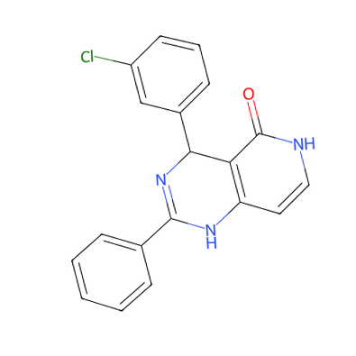 O=c1[nH]ccc2c1C(c1cccc(Cl)c1)N=C(c1ccccc1)N2